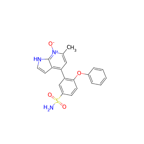 Cc1cc(-c2cc(S(N)(=O)=O)ccc2Oc2ccccc2)c2cc[nH]c2[n+]1[O-]